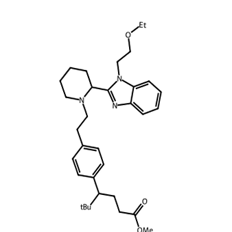 CCOCCn1c(C2CCCCN2CCc2ccc(C(CCC(=O)OC)C(C)(C)C)cc2)nc2ccccc21